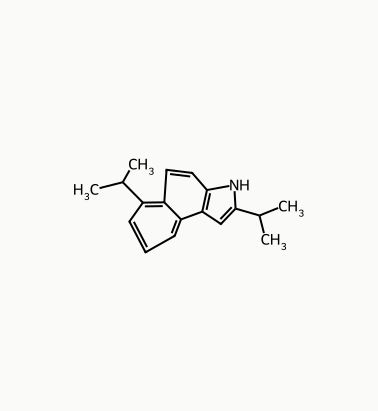 CC(C)c1cc2c(ccc3c(C(C)C)cccc32)[nH]1